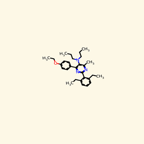 CCCN(CCC)c1c(C)nc(-c2c(CC)cccc2CC)nc1-c1ccc(OCC)cc1